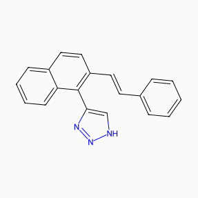 C(=Cc1ccc2ccccc2c1-c1c[nH]nn1)c1ccccc1